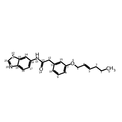 CCCC=CCOc1cccc(CC(=O)Nc2ccc3ncsc3c2)c1